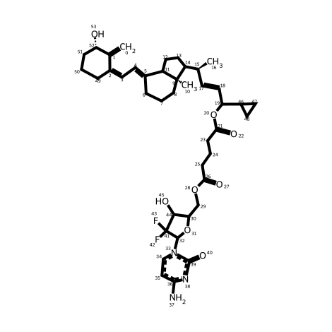 C=C1/C(=C\C=C2/CCC[C@@]3(C)C2CCC3[C@@H](C)/C=C/C(OC(=O)CCCC(=O)OCC2OC(n3ccc(N)nc3=O)C(F)(F)C2O)C2CC2)CCC[C@@H]1O